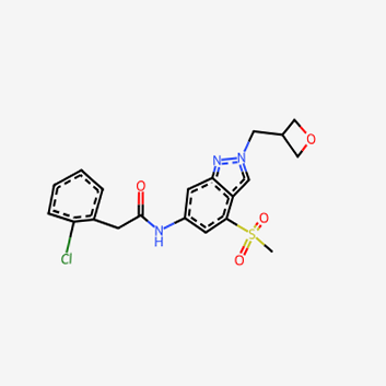 CS(=O)(=O)c1cc(NC(=O)Cc2ccccc2Cl)cc2nn(CC3COC3)cc12